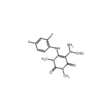 Cn1c(Nc2ccc(I)cc2F)c(N(N)C=O)c(=O)n(C)c1=O